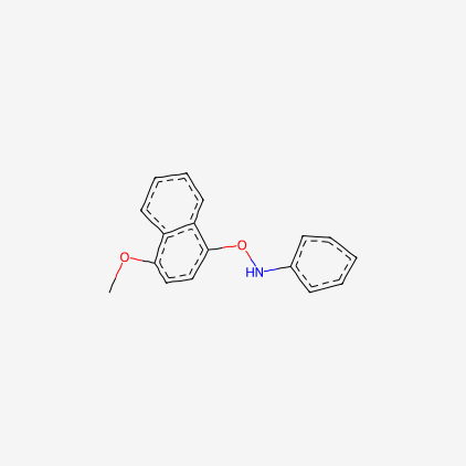 COc1ccc(ONc2ccccc2)c2ccccc12